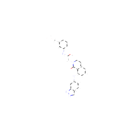 Cc1n[nH]c2cc(Nc3cccc4ccn(CC(=O)Nc5cccc(C(C)(C)O)c5)c(=O)c34)ccc12